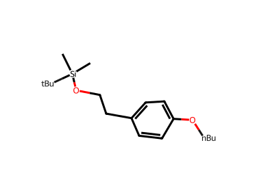 CCCCOc1ccc(CCO[Si](C)(C)C(C)(C)C)cc1